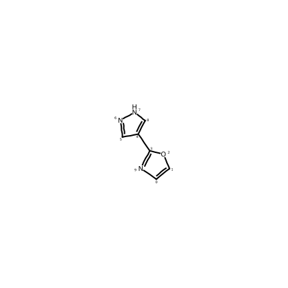 c1coc(-c2cn[nH]c2)n1